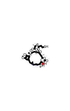 COc1cc2cc(c1Cl)N(C)C(=O)C[C@H](OC(=O)[C@H](C)N(C)C(=O)CCS)[C@]1(C)OC1[C@H](C)C1C[C@@](O)(NC(=O)O1)[C@H](OC)/C=C/C=C(\C)C2